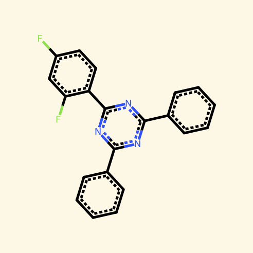 Fc1ccc(-c2nc(-c3ccccc3)nc(-c3ccccc3)n2)c(F)c1